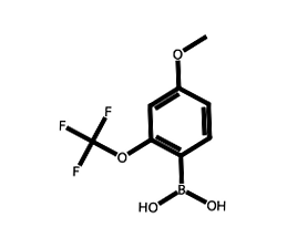 COc1ccc(B(O)O)c(OC(F)(F)F)c1